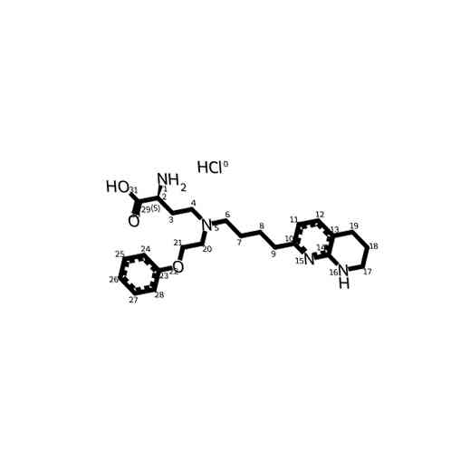 Cl.N[C@@H](CCN(CCCCc1ccc2c(n1)NCCC2)CCOc1ccccc1)C(=O)O